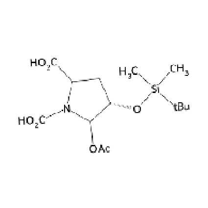 CC(=O)OC1[C@@H](O[Si](C)(C)C(C)(C)C)CC(C(=O)O)N1C(=O)O